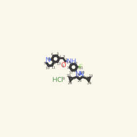 Cl.O=C(Cc1ccc2ncccc2c1)Nc1ccc(-n2nc(C3CC3)cc2C2CC2)c(F)c1